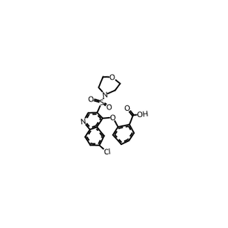 O=C(O)c1ccccc1Oc1c(S(=O)(=O)N2CCOCC2)cnc2ccc(Cl)cc12